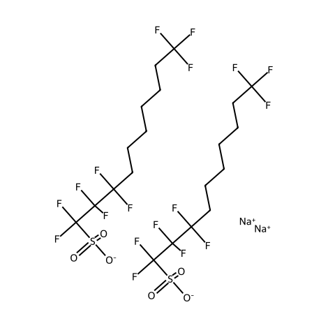 O=S(=O)([O-])C(F)(F)C(F)(F)C(F)(F)CCCCCCC(F)(F)F.O=S(=O)([O-])C(F)(F)C(F)(F)C(F)(F)CCCCCCC(F)(F)F.[Na+].[Na+]